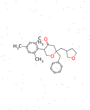 Cc1cc(C)c(C2COC(Cc3ccccc3)(CC3CCOC3)CC2=O)c(C)c1